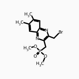 COP(=O)(Cc1nc2cc(C)c(C)cc2nc1CBr)OC